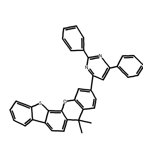 CC1(C)c2ccc(-c3cc(-c4ccccc4)nc(-c4ccccc4)n3)cc2Oc2c1ccc1c2sc2ccccc21